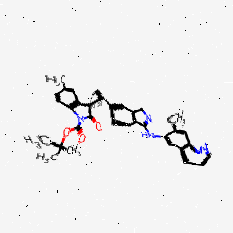 Cc1ccc2c(c1)[C@]1(C[C@H]1c1ccc3c(c1)CN=C3Nc1cc3cccnc3cc1C)C(=O)N2C(=O)OC(C)(C)C